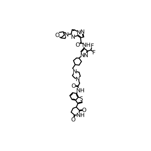 O=C1CCC(c2csc3c(NC(=O)CN4CCN(CC5CCC(n6cc(NC(=O)c7cnn8ccc(N9CC%10CC9CO%10)nc78)c(C(F)F)n6)CC5)CC4)cccc23)C(=O)N1